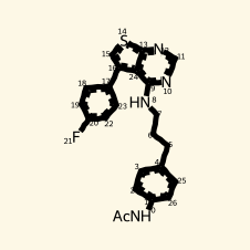 CC(=O)Nc1ccc(CCCNc2ncnc3scc(-c4ccc(F)cc4)c23)cc1